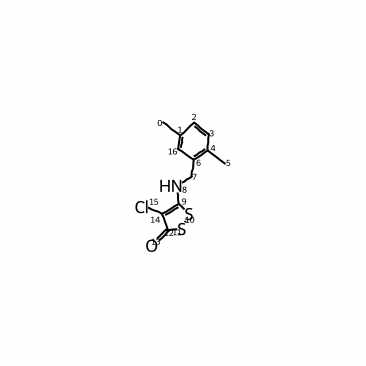 Cc1ccc(C)c(CNc2ssc(=O)c2Cl)c1